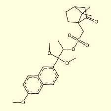 COc1ccc2cc(C(OC)(OC)C(C)OS(=O)(=O)CC34CCC(CC3=O)C4(C)C)ccc2c1